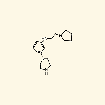 c1cc(NCCN2CCCC2)cc(N2CCNCC2)c1